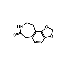 O=C1Cc2ccc3c(c2CCN1)OCO3